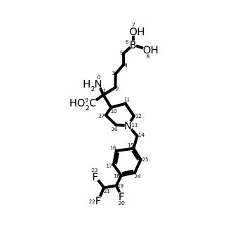 NC(CCCCB(O)O)(C(=O)O)C1CCN(Cc2ccc(C(F)C(F)F)cc2)CC1